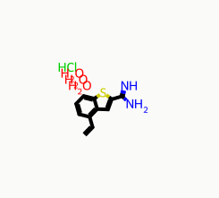 C=Cc1cccc2sc(C(=N)N)cc12.Cl.O.O.O